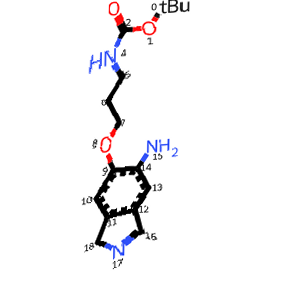 CC(C)(C)OC(=O)NCCCOc1cc2c(cc1N)C=NC2